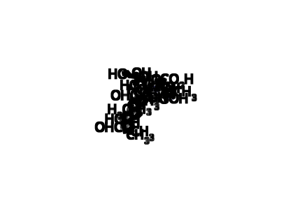 CC(O)/C(O)=C(/O)C(O)O/C(=C(/OC(O)C(O)C(O)C(O)CCO)C(O)O[C@H]1CC[C@]2(C)[C@H]3C=CC4[C@@H]5CC(C)(C)C[C@@H](C=O)C5[C@H](O)C[C@@]4(C)[C@]3(C)CC[C@H]2[C@]1(C)C=O)C(O)CC(=O)O